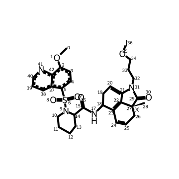 COc1ccc(S(=O)(=O)N2CCCCC2C(=O)NC2CC=C3C4=C2C=CC[C@@]4(C)C(=O)N3CCCOI)c2cccnc12